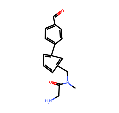 CN(Cc1cccc(-c2ccc(C=O)cc2)c1)C(=O)CN